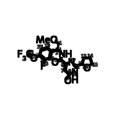 COC[C@@H](NC(=O)c1cc(=O)[nH]c(C2CCCO2)n1)c1ccc(OC(F)(F)F)c(F)c1